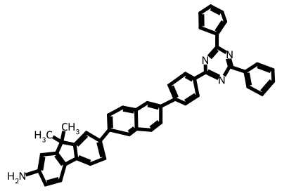 CC1(C)c2cc(N)ccc2-c2ccc(-c3ccc4cc(-c5ccc(-c6nc(-c7ccccc7)nc(-c7ccccc7)n6)cc5)ccc4c3)cc21